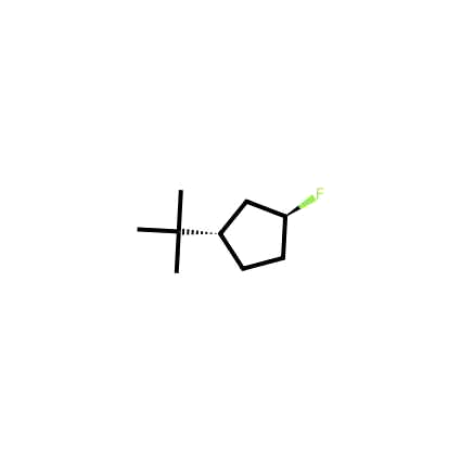 CC(C)(C)[C@H]1CC[C@H](F)C1